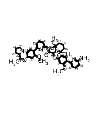 COc1cc(OC(C(=O)Nc2cccc(-c3ccc(OC(C)C4CCCN4)cc3OC)n2)N2C(C)(C)CCCC2(C)C)ccc1-c1cccc(N)n1